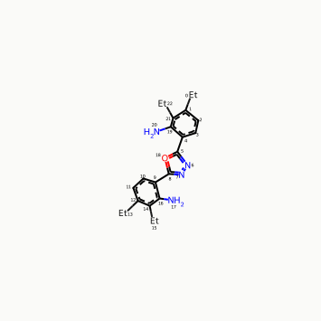 CCc1ccc(-c2nnc(-c3ccc(CC)c(CC)c3N)o2)c(N)c1CC